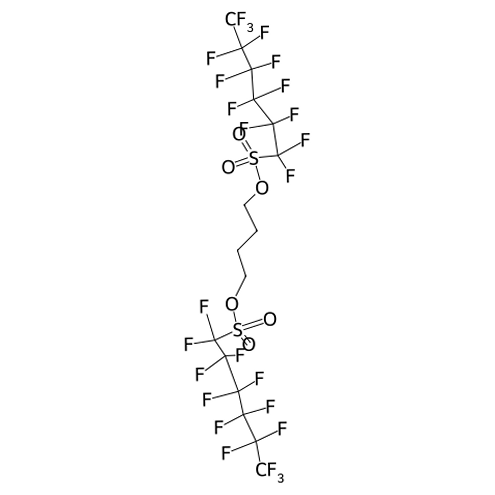 O=S(=O)(OCCCCOS(=O)(=O)C(F)(F)C(F)(F)C(F)(F)C(F)(F)C(F)(F)C(F)(F)F)C(F)(F)C(F)(F)C(F)(F)C(F)(F)C(F)(F)C(F)(F)F